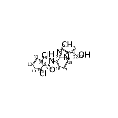 Cc1nc2c(NC(=O)c3c(Cl)cccc3Cl)cccn2c1CCO